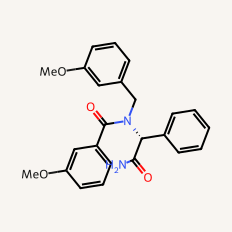 COc1cccc(CN(C(=O)c2cccc(OC)c2)[C@@H](C(N)=O)c2ccccc2)c1